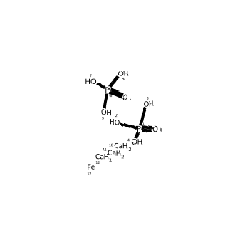 O=P(O)(O)O.O=P(O)(O)O.[CaH2].[CaH2].[CaH2].[Fe]